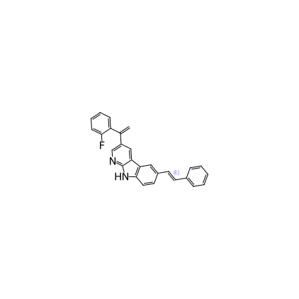 C=C(c1cnc2[nH]c3ccc(/C=C/c4ccccc4)cc3c2c1)c1ccccc1F